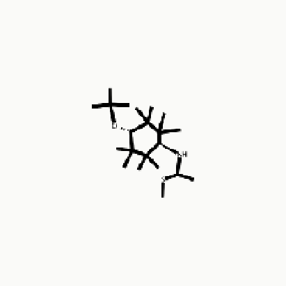 CSC(C)N[C@H]1C(C)(C)C(C)(C)[C@H](OC(C)(C)C)C(C)(C)C1(C)C